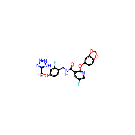 C[C@@H](Oc1ccc(CNC(=O)c2cc(F)cnc2Oc2ccc3c(c2)OCO3)c(F)c1)c1nnn[nH]1